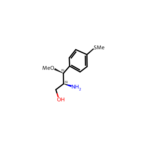 CO[C@@H](c1ccc(SC)cc1)[C@@H](N)CO